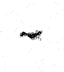 Cc1cc(-c2ncc(F)cc2F)cc(C)c1C1C(=O)CC(CC(=O)NCc2cccc(C(F)(F)F)c2)C1=O